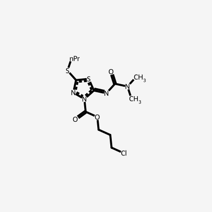 CCCSc1nn(C(=O)OCCCCl)c(=NC(=O)N(C)C)s1